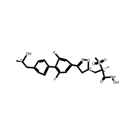 C[C@@H](O)Cc1ccc(-c2c(F)cc(C3=NO[C@@H](C[C@](C)(C(=O)NO)S(C)(=O)=O)C3)cc2F)cc1